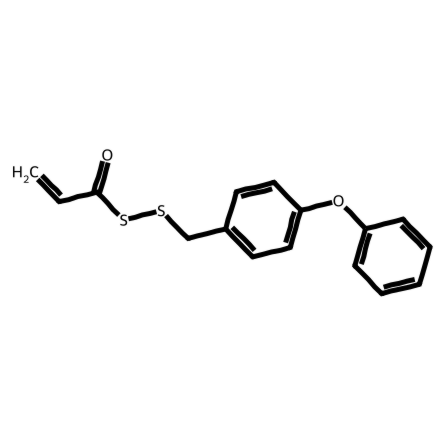 C=CC(=O)SSCc1ccc(Oc2ccccc2)cc1